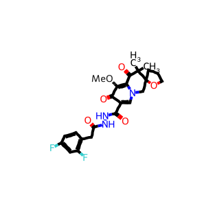 COc1c2n(cc(C(=O)NNC(=O)Cc3ccc(F)cc3F)c1=O)CC1(CCCO1)C(C)(C)C2=O